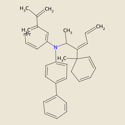 C=C/C=C(\C(C)N(C(/C=C\CCC)=C/C(=C)C(=C)C)c1ccc(-c2ccccc2)cc1)C1(C)C=CC=CC1